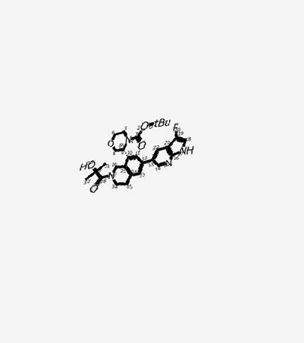 CC(C)(C)OC(=O)N1CCOC[C@H]1c1cc(-c2cnc3[nH]cc(F)c3c2)cc2c1CN(C(=O)C(C)(C)O)CC2